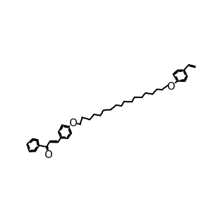 C=Cc1ccc(OCCCCCCCCCCCCCCCCCCOc2ccc(/C=C/C(=O)c3ccccc3)cc2)cc1